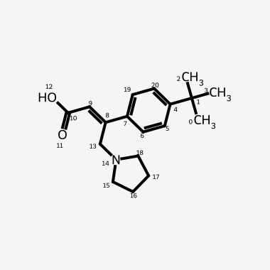 CC(C)(C)c1ccc(C(=CC(=O)O)CN2CCCC2)cc1